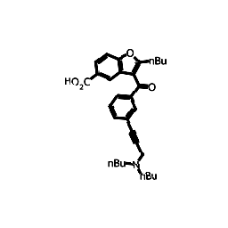 CCCCc1oc2ccc(C(=O)O)cc2c1C(=O)c1cccc(C#CCN(CCCC)CCCC)c1